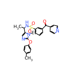 CCn1c(C(C)NS(=O)(=O)c2cccc(C(=O)c3ccncc3)c2)cnc1Oc1ccc(C)cc1